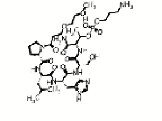 COCCOCCC(=O)N1CCC[C@H]1C(=O)N[C@@H](CC(C)C)C(=O)N[C@@H](Cc1cnc[nH]1)C(=O)N[C@@H](CO)C(=O)N[C@H](C(N)=O)[C@@H](C)OP(=O)(O)OCCCN